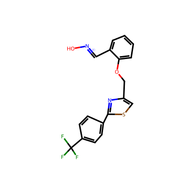 O/N=C/c1ccccc1OCc1csc(-c2ccc(C(F)(F)F)cc2)n1